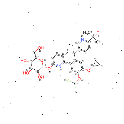 CC(C)(O)c1ccc([C@@H](Cc2ccc(O[C@H]3O[C@H](CO)[C@@H](O)[C@H](O)[C@@H]3O)nc2)c2ccc(OC(F)F)c(OC3CC3)c2)cn1